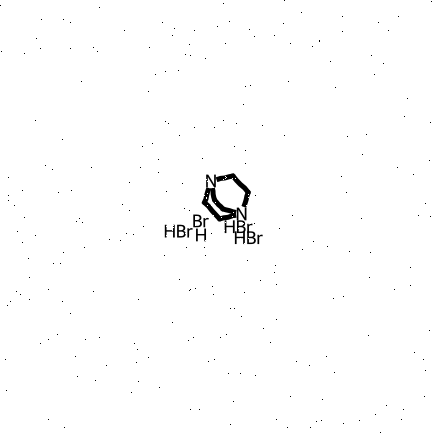 Br.Br.Br.Br.C1CN2CCN1CC2